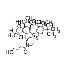 COc1c(C(C)(C)C)cc(SC2(Sc3cc(C(C)(C)C)c(O)c(C(C)(C)C)c3)CCN(C(=O)CCCO)CC2)cc1C(C)(C)C